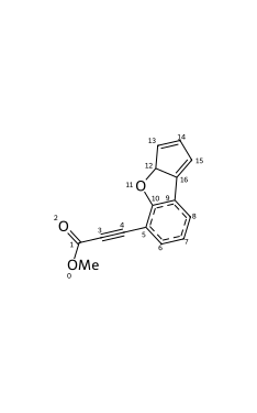 COC(=O)C#Cc1cccc2c1OC1C=CC=C21